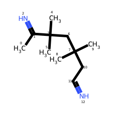 CC(=N)C(C)(C)CC(C)(C)CC=N